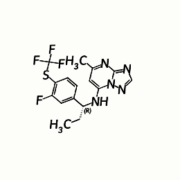 CC[C@@H](Nc1cc(C)nc2ncnn12)c1ccc(SC(F)(F)F)c(F)c1